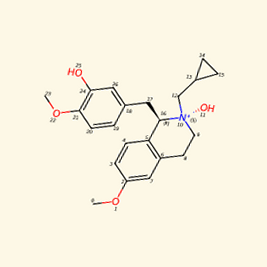 COc1ccc2c(c1)CC[N@+](O)(CC1CC1)[C@@H]2Cc1ccc(OC)c(O)c1